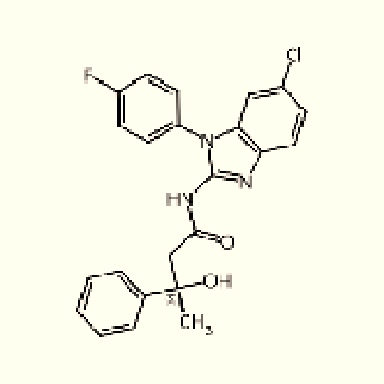 C[C@](O)(CC(=O)Nc1nc2ccc(Cl)cc2n1-c1ccc(F)cc1)c1ccccc1